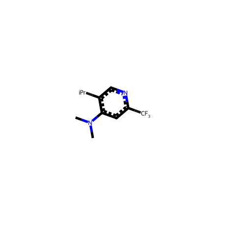 CC(C)c1cnc(C(F)(F)F)cc1N(C)C